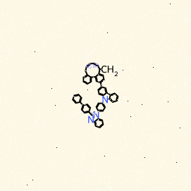 C=C1/C=C\C=C/Cc2ccccc2-c2cc(-c3ccc4c(c3)c3ccccc3n4-c3ccc(-n4c(-c5ccc(-c6ccccc6)cc5)nc5ccccc54)cc3)ccc21